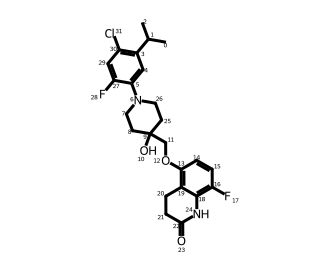 CC(C)c1cc(N2CCC(O)(COc3ccc(F)c4c3CCC(=O)N4)CC2)c(F)cc1Cl